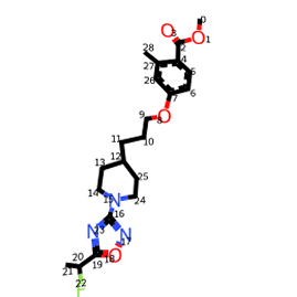 COC(=O)c1ccc(OCCCC2CCN(c3noc(C(C)F)n3)CC2)cc1C